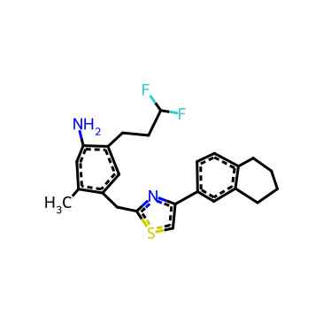 Cc1cc(N)c(CCC(F)F)cc1Cc1nc(-c2ccc3c(c2)CCCC3)cs1